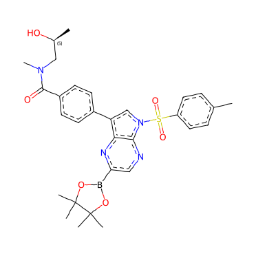 Cc1ccc(S(=O)(=O)n2cc(-c3ccc(C(=O)N(C)C[C@H](C)O)cc3)c3nc(B4OC(C)(C)C(C)(C)O4)cnc32)cc1